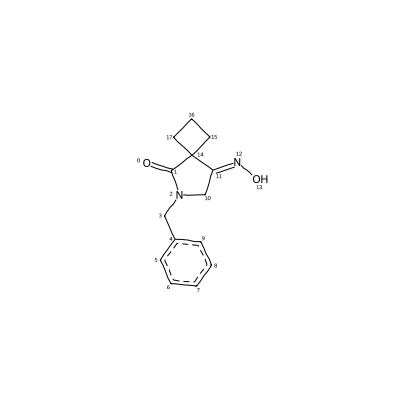 O=C1N(Cc2ccccc2)CC(=NO)C12CCC2